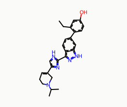 CCc1cc(O)ccc1-c1ccc2c(-c3nc(C4=CCCN(C(C)C)C4)c[nH]3)n[nH]c2c1